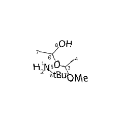 CC(C)(C)N.COC(C)OC(C)O